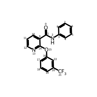 O=C(Nc1ccccc1)c1cccnc1Oc1cccc(C(F)(F)F)c1